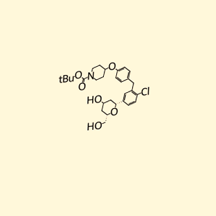 CC(C)(C)OC(=O)N1CCC(Oc2ccc(Cc3cc([C@H]4CC(O)C[C@@H](CO)O4)ccc3Cl)cc2)CC1